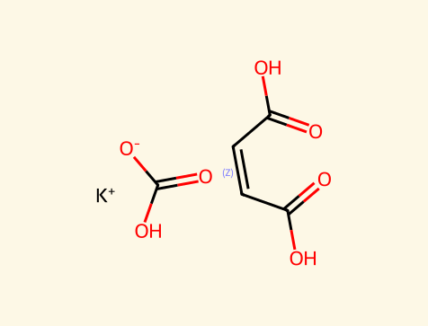 O=C(O)/C=C\C(=O)O.O=C([O-])O.[K+]